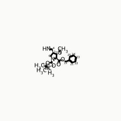 CO[C@H]1[C@H](C=N)CN(C(=O)OC(C)(C)C)[C@@H]1C(=O)OCc1ccccc1